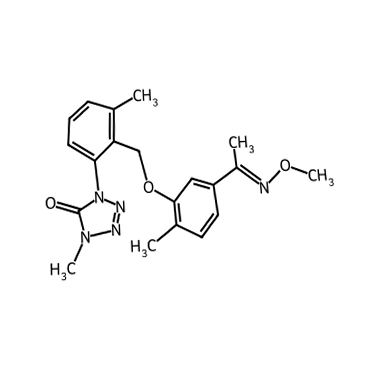 CO/N=C(\C)c1ccc(C)c(OCc2c(C)cccc2-n2nnn(C)c2=O)c1